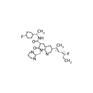 C=C/C(F)=C\C=C(/C)c1cnc2c(c1)cc(C(=O)NC(C)c1ccc(F)cc1)c(=O)n2Cc1ncccn1